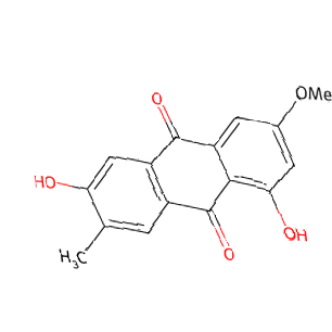 COc1cc(O)c2c(c1)C(=O)c1cc(O)c(C)cc1C2=O